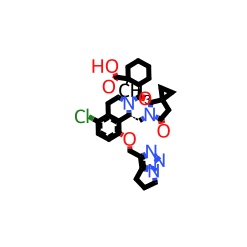 C[C@]1(C(=O)O)CCCC[C@H]1C(=O)N1CCc2c(Cl)ccc(OCc3nnn4c3CCC4)c2[C@H]1CN1CC2(CC2)CC1=O